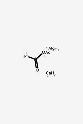 CC(=O)OC(=O)C(C)C.[CaH2].[MgH2]